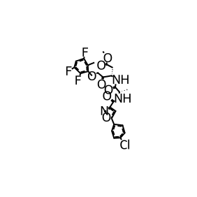 COC(=O)C[C@H](NC(=O)[C@H](C)NC(=O)c1cc(-c2ccc(Cl)cc2)on1)C(=O)COc1c(C)c(F)cc(F)c1F